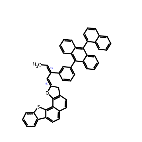 C/C=C(\C=C1/Cc2ccc3ccc4c5ccccc5sc4c3c2O1)c1cccc(-c2c3ccccc3c(-c3cccc4ccccc34)c3ccccc23)c1